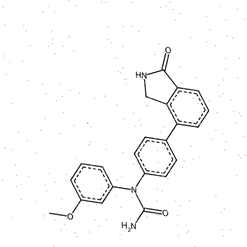 COc1cccc(N(C(N)=O)c2ccc(-c3cccc4c3CNC4=O)cc2)c1